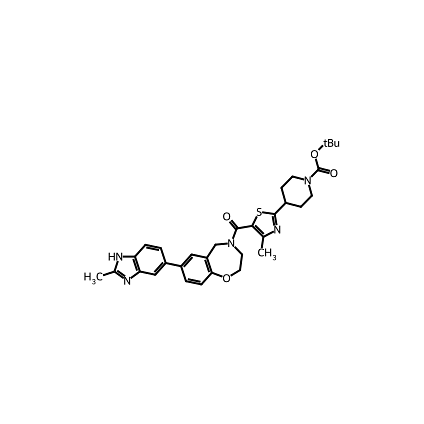 Cc1nc2cc(-c3ccc4c(c3)CN(C(=O)c3sc(C5CCN(C(=O)OC(C)(C)C)CC5)nc3C)CCO4)ccc2[nH]1